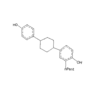 CCCCCc1cc(C2CCC(c3ccc(O)cc3)CC2)ccc1O